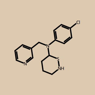 Clc1ccc(N(Cc2cccnc2)C2CCCNS2)cc1